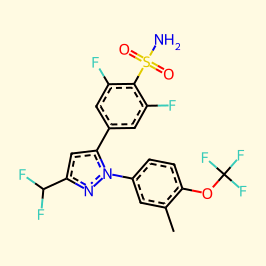 Cc1cc(-n2nc(C(F)F)cc2-c2cc(F)c(S(N)(=O)=O)c(F)c2)ccc1OC(F)(F)F